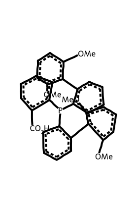 COc1cccc(OC)c1-c1ccccc1P(c1ccccc1C(=O)O)c1ccccc1-c1c(OC)cccc1OC